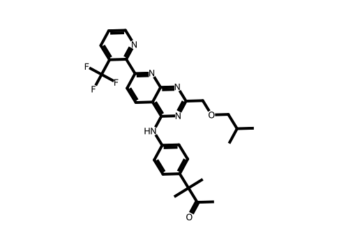 CC(=O)C(C)(C)c1ccc(Nc2nc(COCC(C)C)nc3nc(-c4ncccc4C(F)(F)F)ccc23)cc1